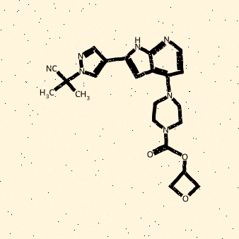 CC(C)(C#N)n1cc(-c2cc3c(N4CCN(C(=O)OC5COC5)CC4)ccnc3[nH]2)cn1